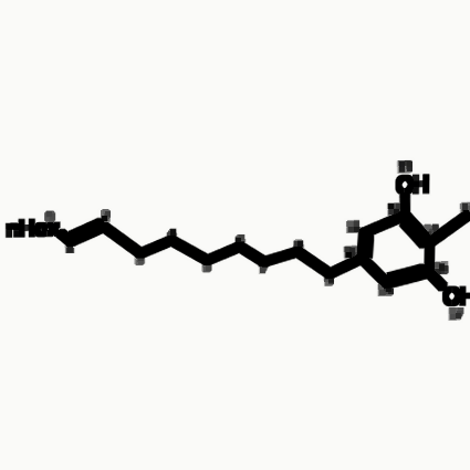 CCCCCCC=CCCCCCCCc1cc(O)c(C)c(O)c1